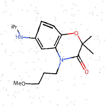 COCCCN1C(=O)C(C)(C)Oc2ccc(NC(C)C)cc21